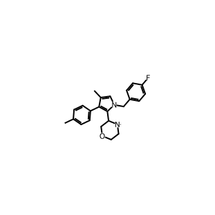 Cc1ccc(-c2c(C)cn(Cc3ccc(F)cc3)c2C2COCC[N]2)cc1